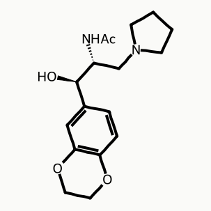 CC(=O)N[C@H](CN1CCCC1)[C@H](O)c1ccc2c(c1)OCCO2